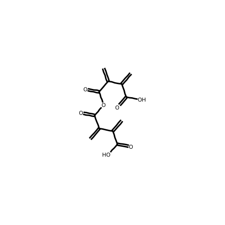 C=C(C(=C)C(=O)OC(=O)C(=C)C(=C)C(=O)O)C(=O)O